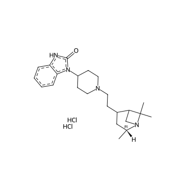 C[C@@H]1CC(CCN2CCC(n3c(=O)[nH]c4ccccc43)CC2)C2CN1C2(C)C.Cl.Cl